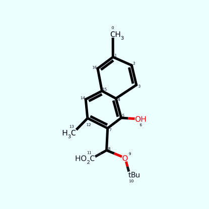 Cc1ccc2c(O)c(C(OC(C)(C)C)C(=O)O)c(C)cc2c1